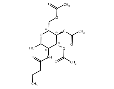 CCCC(=O)N[C@H]1C(O)O[C@H](COC(C)=O)[C@@H](OC(C)=O)[C@@H]1OC(C)=O